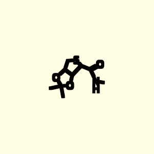 CNC(=O)C1SCC2OC(C)(C)OC21